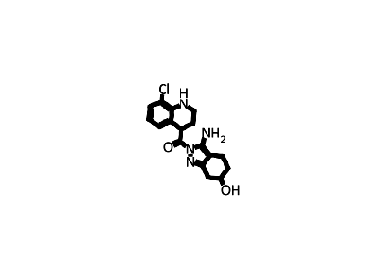 Nc1c2c(nn1C(=O)C1CCNc3c(Cl)cccc31)CC(O)CC2